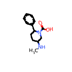 CNC1CCC(c2ccccc2)N(C(=O)O)C1